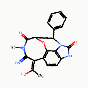 CCN1C(=N)/C(=C(/C)O)c2ccc3[nH]c(=O)n4c3c2OC(C1=O)C4c1ccccc1